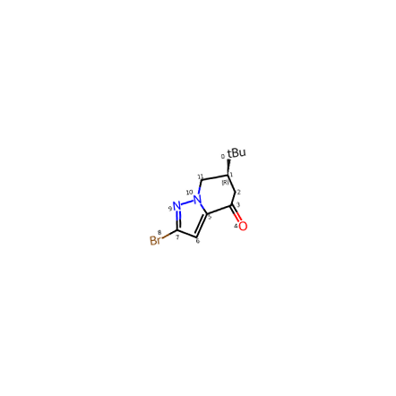 CC(C)(C)[C@H]1CC(=O)c2cc(Br)nn2C1